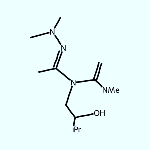 C=C(NC)N(CC(O)C(C)C)/C(C)=N/N(C)C